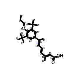 CCCOc1c(C(C)(C)C)cc(/C(C)=C/C=CC(C)=CC(=O)O)cc1C(C)(C)C